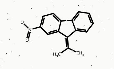 CC(C)=C1c2ccccc2-c2ccc([N+](=O)[O-])cc21